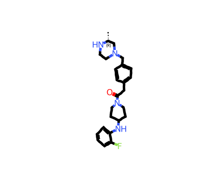 C[C@@H]1CN(Cc2ccc(CC(=O)N3CCC(Nc4ccccc4F)CC3)cc2)CCN1